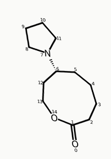 O=C1CCCC[C@@H](N2CCCC2)CCO1